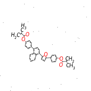 C=C(C)C(=O)Oc1ccc(-c2ccc(-c3ccc(-c4ccc(OC(=O)C(=C)C)cc4)c4ccccc34)o2)cc1